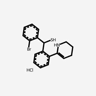 Cl.SC(c1ccccc1Br)c1ccccc1C1=CCCCN1